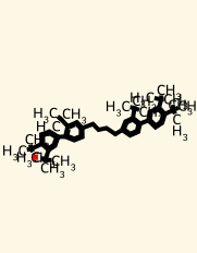 CC(C)(C)c1cc(CCCCc2ccc(-c3ccc(C(C)(C)C)c(C(C)(C)C)c3)c(C(C)(C)C)c2)ccc1-c1ccc(C(C)(C)C)c(C(C)(C)C)c1